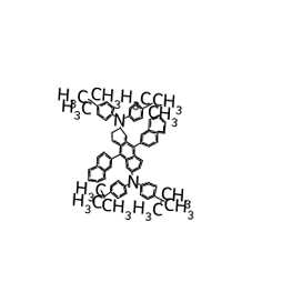 CC(C)(C)c1ccc(N(c2ccc(C(C)(C)C)cc2)c2ccc3c(-c4ccc5ccccc5c4)c4c(c(-c5ccc6ccccc6c5)c3c2)=CCC(N(c2ccc(C(C)(C)C)cc2)c2ccc(C(C)(C)C)cc2)C=4)cc1